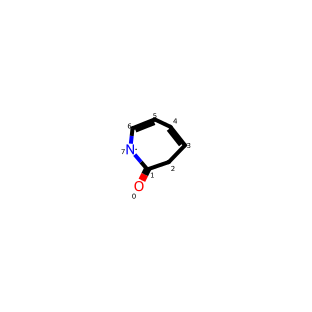 O=C1CC=CC=C[N]1